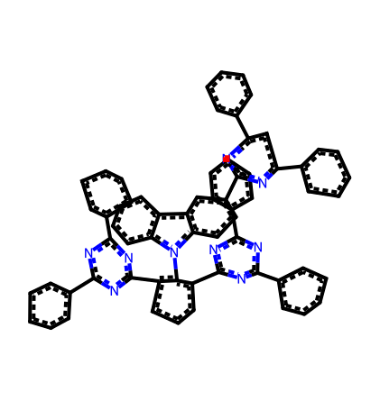 c1ccc(-c2cc(-c3ccccc3)nc(-c3ccc4c(c3)c3ccccc3n4-c3c(-c4nc(-c5ccccc5)nc(-c5ccccc5)n4)cccc3-c3nc(-c4ccccc4)nc(-c4ccccc4)n3)n2)cc1